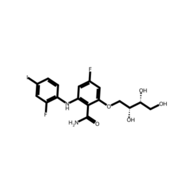 NC(=O)c1c(Nc2ccc(I)cc2F)cc(F)cc1OC[C@@H](O)[C@H](O)CO